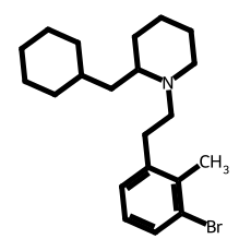 Cc1c(Br)cccc1CCN1CCCCC1CC1CCCCC1